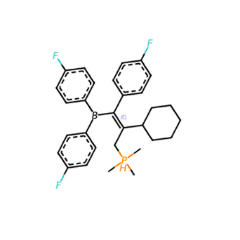 C[PH](C)(C)C/C(=C(\B(c1ccc(F)cc1)c1ccc(F)cc1)c1ccc(F)cc1)C1CCCCC1